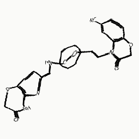 N#Cc1ccc2c(c1)N(CCC13CCC(NCc4ccc5c(n4)NC(=O)CO5)(CC1)CO3)C(=O)CO2